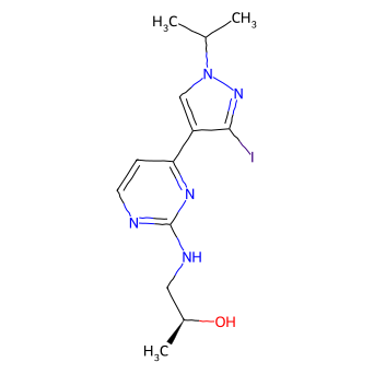 CC(C)n1cc(-c2ccnc(NC[C@H](C)O)n2)c(I)n1